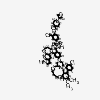 CC1(C)CC(c2ccc(Cl)cc2)=C2CN3CCN(c4ccc(C(=O)NS(=O)(=O)c5ccc(OCC6(F)CCN(C7COC7)CC6)c(Cl)c5)c(N5CCCOc6nc7[nH]ccc7cc65)c4)CC3COCCCO[C@@H]2C1